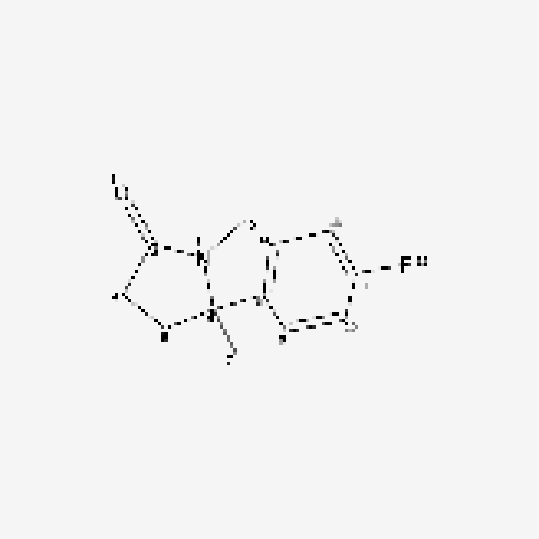 CN1C(=O)CCC1(C)c1ccc(F)cc1